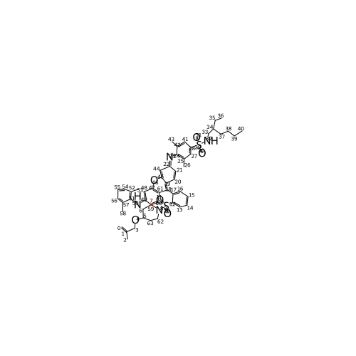 C=C(C)COC1CCN(S(=O)(=O)c2ccccc2-c2c3cc/c(=N\c4c(C)cc(S(=O)(=O)NCC(CC)CCCC)cc4C)cc-3oc3cc(Nc4c(C)cccc4C)ccc23)CC1